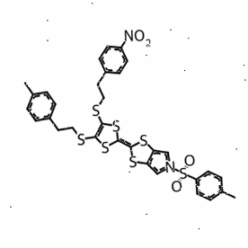 Cc1ccc(CCSC2=C(SCCc3ccc([N+](=O)[O-])cc3)SC(=C3Sc4cn(S(=O)(=O)c5ccc(C)cc5)cc4S3)S2)cc1